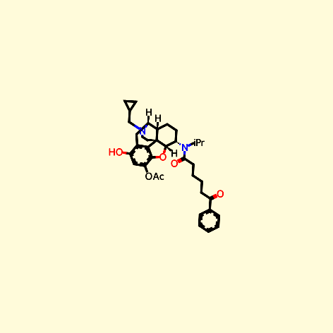 CC(=O)Oc1cc(O)c2c3c1O[C@H]1[C@@H](N(C(=O)CCCCC(=O)c4ccccc4)C(C)C)CC[C@H]4[C@@H](C2)N(CC2CC2)CC[C@@]341